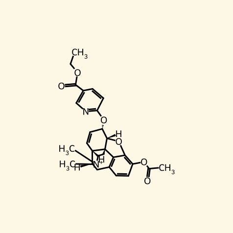 CCOC(=O)c1ccc(O[C@H]2C=C[C@H]3[C@H]4Cc5ccc(OC(C)=O)c6c5[C@@]3(CC[N+]4(C)C)[C@H]2O6)nc1